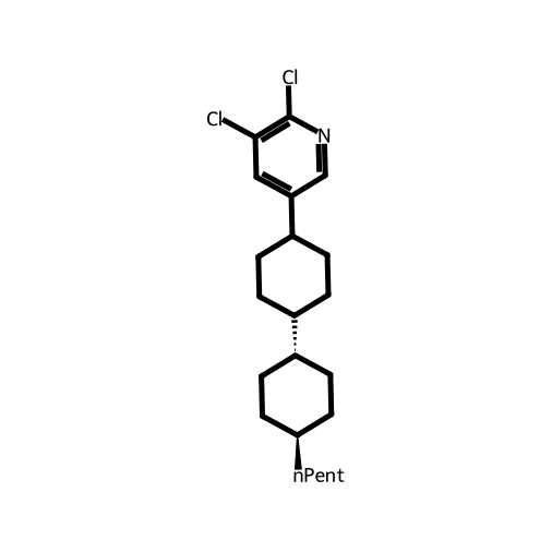 CCCCC[C@H]1CC[C@H](C2CCC(c3cnc(Cl)c(Cl)c3)CC2)CC1